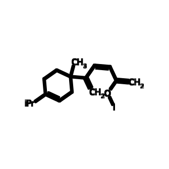 C=C(/C=C\C(=C)C1(C)CC=C(C(C)C)CC1)OI